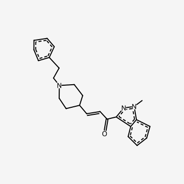 Cn1nc(C(=O)/C=C/C2CCN(CCc3ccccc3)CC2)c2ccccc21